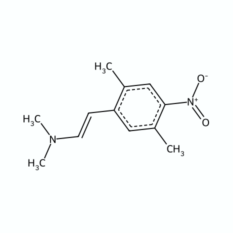 Cc1cc([N+](=O)[O-])c(C)cc1/C=C/N(C)C